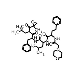 CC(C)CC(NC(=O)C(CCc1ccccc1)NC(=O)CN1CCOCC1)C(=O)NC(Cc1ccccc1)C(=O)C(CC(C)C)C(=O)C1(C)CO1